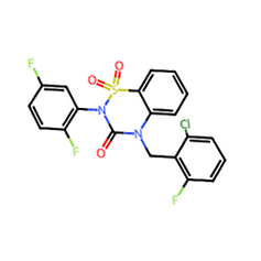 O=C1N(Cc2c(F)cccc2Cl)c2ccccc2S(=O)(=O)N1c1cc(F)ccc1F